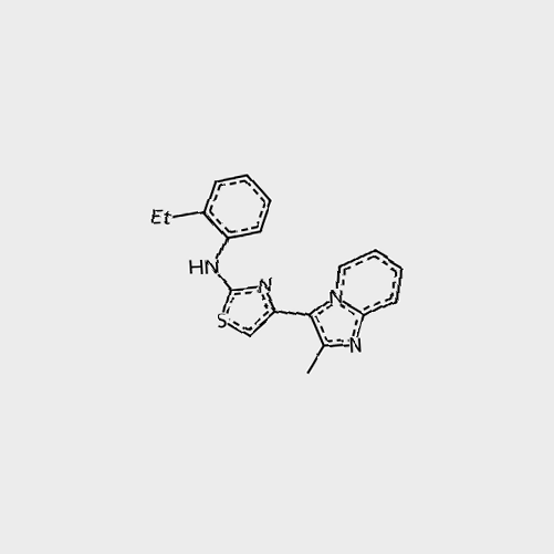 CCc1ccccc1Nc1nc(-c2c(C)nc3ccccn23)cs1